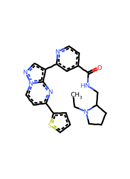 CCN1CCCC1CNC(=O)c1ccnc(-c2cnn3ccc(-c4cccs4)nc23)c1